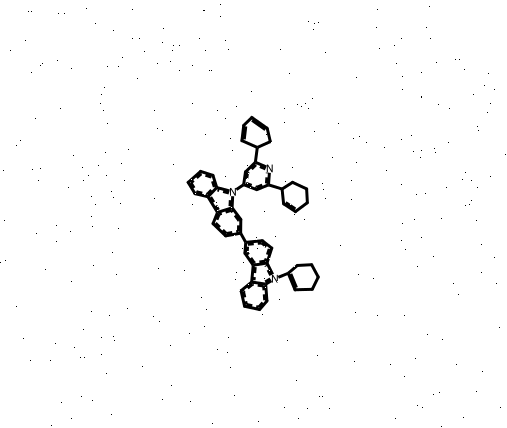 C1=CCC(c2cc(-n3c4ccccc4c4ccc(-c5ccc6c(c5)c5ccccc5n6C5=CCCCC5)cc43)cc(C3C=CCCC3)n2)C=C1